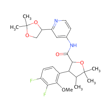 COc1c(C2C(C(=O)Nc3ccnc(C4COC(C)(C)O4)c3)OC(C)(C)C2C)ccc(F)c1F